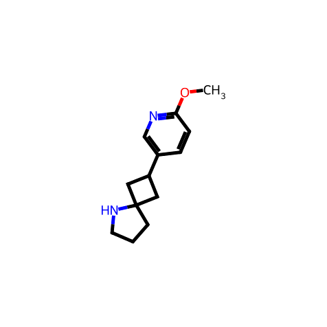 COc1ccc(C2CC3(CCCN3)C2)cn1